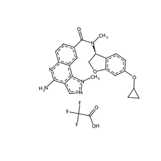 CN(C(=O)c1ccc2nc(N)c3cnn(C)c3c2c1)[C@@H]1COc2cc(OC3CC3)ccc21.O=C(O)C(F)(F)F